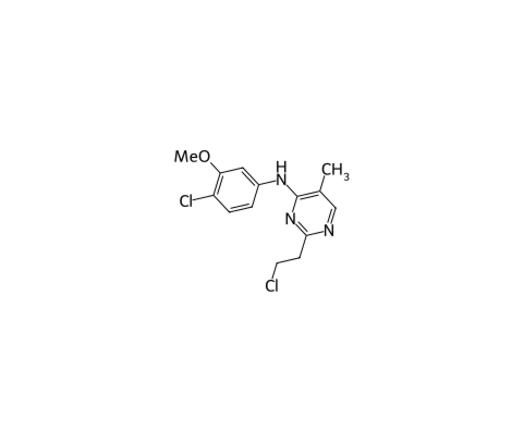 COc1cc(Nc2nc(CCCl)ncc2C)ccc1Cl